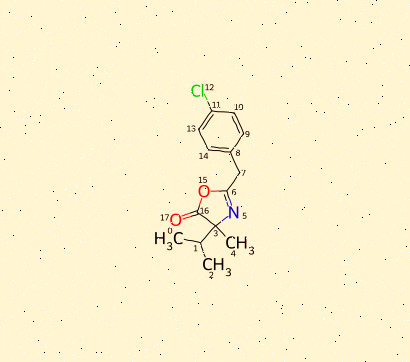 CC(C)C1(C)N=C(Cc2ccc(Cl)cc2)OC1=O